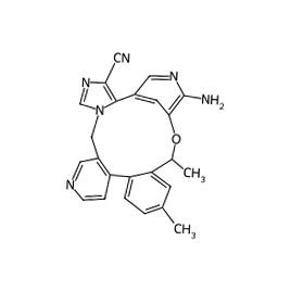 Cc1ccc2c(c1)C(C)Oc1cc(cnc1N)-c1c(C#N)ncn1Cc1cnccc1-2